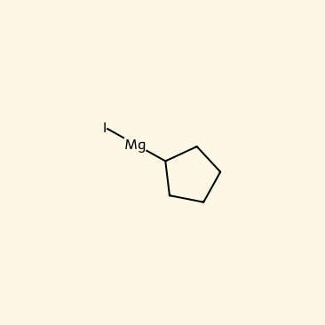 [I][Mg][CH]1CCCC1